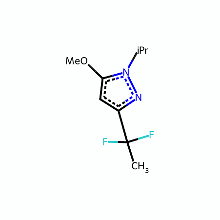 COc1cc(C(C)(F)F)nn1C(C)C